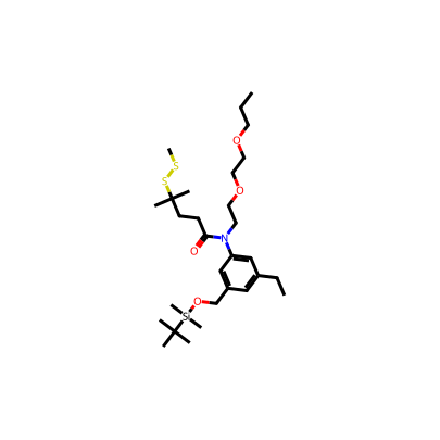 CCCOCCOCCN(C(=O)CCC(C)(C)SSC)c1cc(CC)cc(CO[Si](C)(C)C(C)(C)C)c1